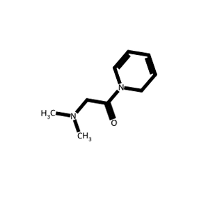 CN(C)CC(=O)N1C=CC=CC1